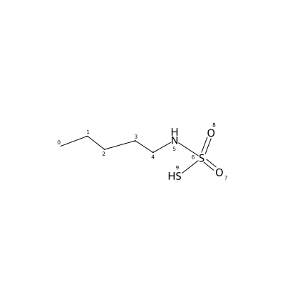 CCCCCNS(=O)(=O)S